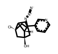 [N-]=[N+]=NC(c1cccnc1)[C@H]1C2CC3C[C@@]2(Cl)C[C@@]1(O)C3